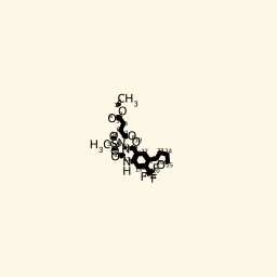 CCOC(=O)CCC(=O)N(n1c(=O)[nH]c2cc(C(F)(F)F)c(C3CCCO3)cc2c1=O)S(C)(=O)=O